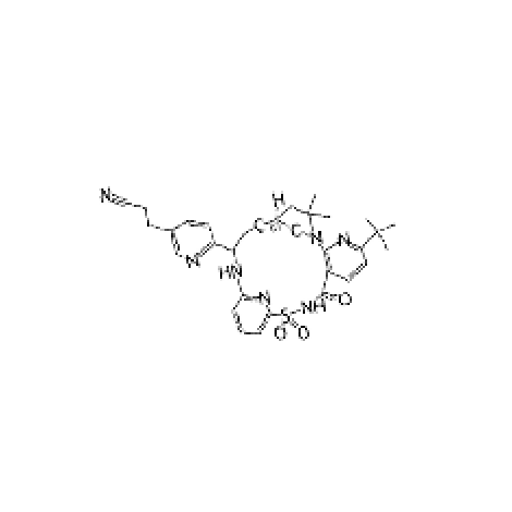 CC(C)(C)c1ccc2c(n1)N1C[C@@H](CCC(c3ccc(CCC#N)cn3)Nc3cccc(n3)S(=O)(=O)NC2=O)CC1(C)C